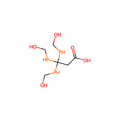 O=C(O)CC(PCO)(PCO)PCO